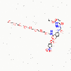 C=CCOC(=O)N[C@H](C(=O)N[C@H](C)C(=O)Nc1ccc(COC(=O)Oc2ccc([N+](=O)[O-])cc2)c(C(=O)NCCOCCOCCOCCOCCOCCOCCOCCOC)c1)C(C)C